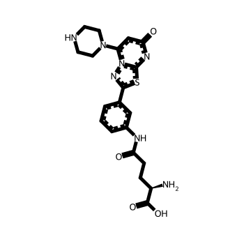 N[C@H](CCC(=O)Nc1cccc(-c2nn3c(N4CCNCC4)cc(=O)nc3s2)c1)C(=O)O